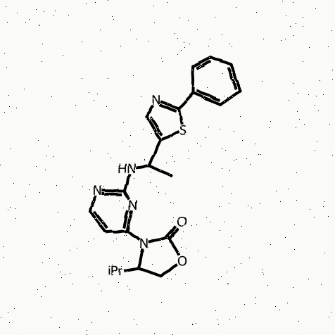 CC(Nc1nccc(N2C(=O)OCC2C(C)C)n1)c1cnc(-c2ccccc2)s1